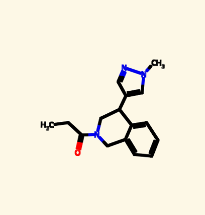 CCC(=O)N1Cc2ccccc2C(c2cnn(C)c2)C1